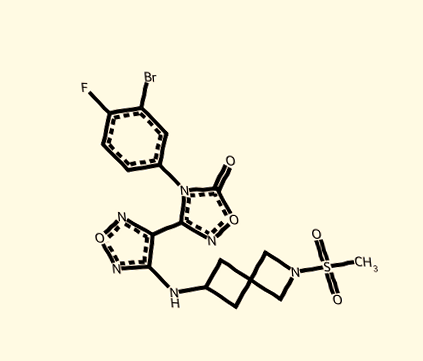 CS(=O)(=O)N1CC2(CC(Nc3nonc3-c3noc(=O)n3-c3ccc(F)c(Br)c3)C2)C1